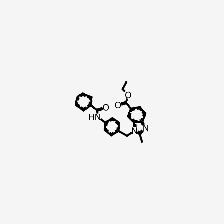 CCOC(=O)c1ccc2nc(C)n(Cc3ccc(NC(=O)c4ccccc4)cc3)c2c1